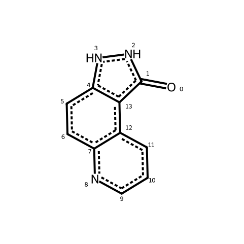 O=c1[nH][nH]c2ccc3ncccc3c12